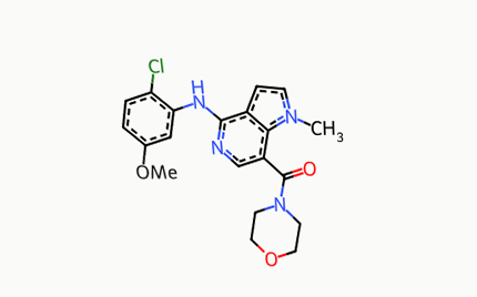 COc1ccc(Cl)c(Nc2ncc(C(=O)N3CCOCC3)c3c2ccn3C)c1